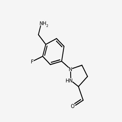 NCc1ccc(N2CCC(C=O)N2)cc1F